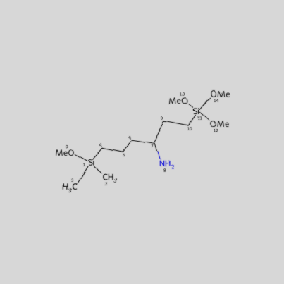 CO[Si](C)(C)CCCC(N)CC[Si](OC)(OC)OC